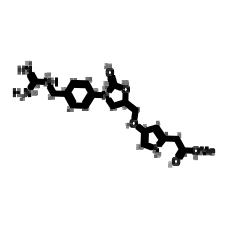 COC(=O)Cc1cc(OCC2CN(c3ccc(CNC(=N)N)cc3)C(=O)O2)cs1